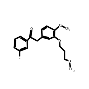 COCCCOc1cc(CC(=O)c2cccc(Cl)c2)ccc1OC